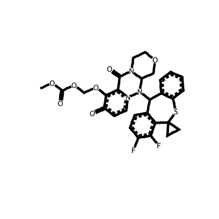 COC(=O)OCOc1c2n(ccc1=O)N(C1c3ccccc3SC3(CC3)c3c1ccc(F)c3F)C1COCCN1C2=O